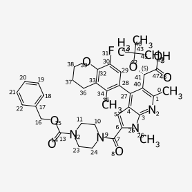 Cc1nc2c(cc(C(=O)N3CCN(C(=O)OCc4ccccc4)CC3)n2C)c(-c2cc(F)c3c(c2C)CCCO3)c1[C@H](OC(C)(C)C)C(=O)O